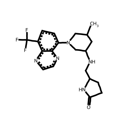 CC1CC(NCC2CCC(=O)N2)CN(c2ccc(C(F)(F)F)c3nccnc23)C1